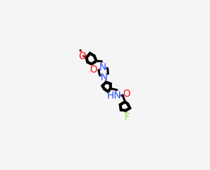 COc1ccc(CN2CCN(c3cccc(CNC(=O)c4ccc(F)cc4)c3)CC2)c(OC)c1